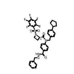 O=C(NOCc1ccccc1)c1ccc(N(Cc2ccc(C3CCCC3)cc2)C(=O)[C@H]2CCN2S(=O)(=O)c2c(F)c(F)c(F)c(F)c2F)cc1